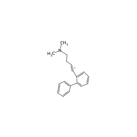 CN(C)CC/C=C/c1ccccc1-c1ccccc1